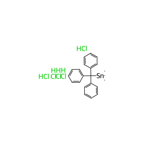 Cl.Cl.Cl.Cl.Cl.[Sn][C](c1ccccc1)(c1ccccc1)c1ccccc1